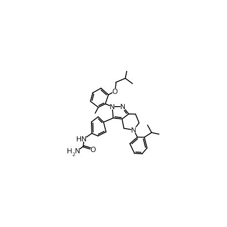 Cc1cccc(OCC(C)C)c1-n1nc2c(c1-c1ccc(NC(N)=O)cc1)CN(c1ccccc1C(C)C)CC2